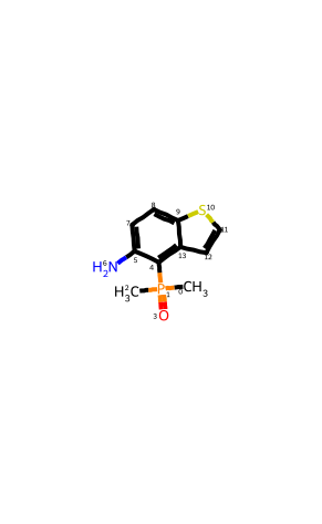 CP(C)(=O)c1c(N)ccc2sccc12